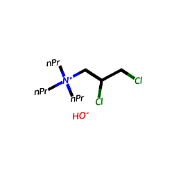 CCC[N+](CCC)(CCC)CC(Cl)CCl.[OH-]